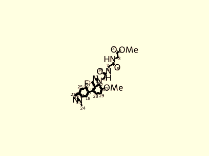 COC(=O)CNC(=O)CNC(=O)Cn1ncc2c(-c3cc4c(cnn4C)cc3F)ccc(OC)c21